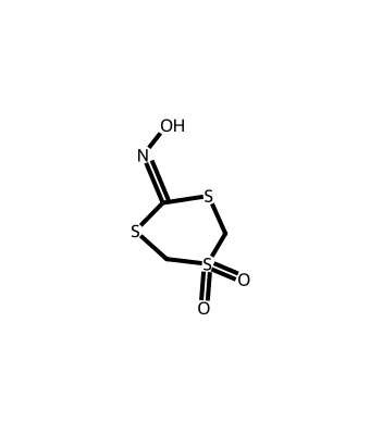 O=S1(=O)CSC(=NO)SC1